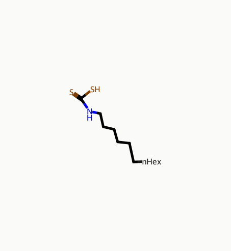 CCCCCCCCCCCCNC(=S)S